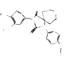 CC(C)Oc1ccc(N2C(=S)N(c3ccc(C#N)c(C(F)(F)F)c3)C(=O)C23CCOCC3)cc1